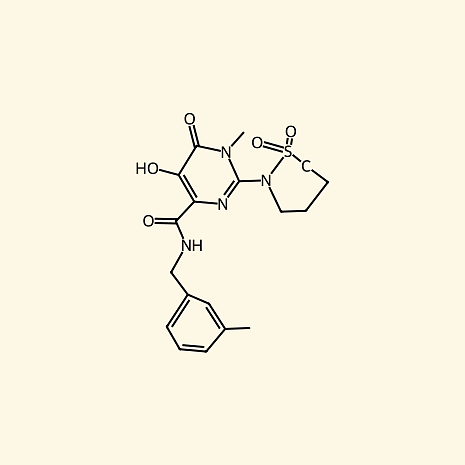 Cc1cccc(CNC(=O)c2nc(N3CCCCS3(=O)=O)n(C)c(=O)c2O)c1